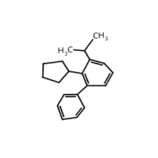 CC(C)c1cccc(-c2ccccc2)c1C1CCCC1